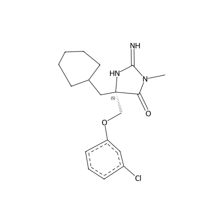 CN1C(=N)N[C@](COc2cccc(Cl)c2)(CC2CCCCC2)C1=O